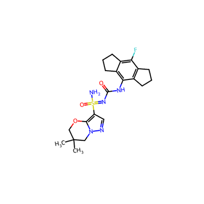 CC1(C)COc2c(S(N)(=O)=NC(=O)Nc3c4c(c(F)c5c3CCC5)CCC4)cnn2C1